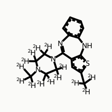 [2H]C([2H])([2H])c1cc2c(s1)Nc1ccccc1N=C2N1C([2H])([2H])C([2H])([2H])N(C([2H])([2H])[2H])C([2H])([2H])C1([2H])[2H]